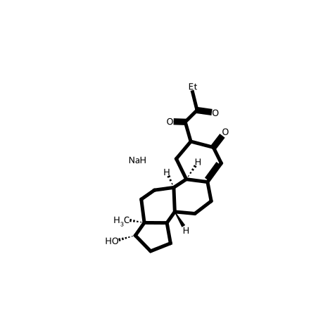 CCC(=O)C(=O)C1C[C@H]2C(=CC1=O)CC[C@@H]1C3CC[C@H](O)[C@@]3(C)CC[C@H]12.[NaH]